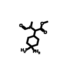 COC(=O)C(C1CCC(P)(P)CC1)N(C)C=O